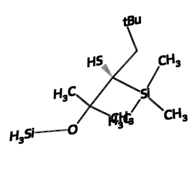 CC(C)(C)C[C@](S)(C(C)(C)O[SiH3])[Si](C)(C)C